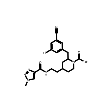 Cn1cc(C(=O)NCCC2CCN(C(=O)O)C(Cc3cc(Cl)cc(C#N)c3)C2)nn1